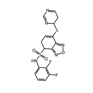 O=S(=O)(Nc1cccc(F)c1F)C1CC=C(SC2CC=NC=N2)c2nonc21